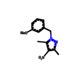 COc1cccc(Cn2nc(C)c([N+](=O)[O-])c2C)c1